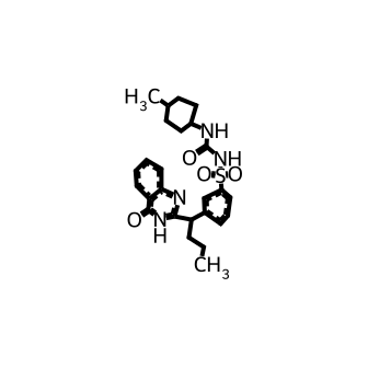 CCCC(c1cccc(S(=O)(=O)NC(=O)NC2CCC(C)CC2)c1)c1nc2ccccc2c(=O)[nH]1